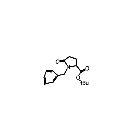 CC(C)(C)OC(=O)C1CCC(=O)N1Cc1ccccc1